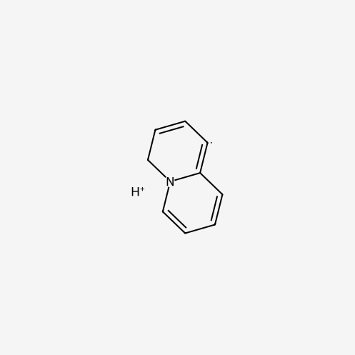 [C]1=C2C=CC=CN2CC=C1.[H+]